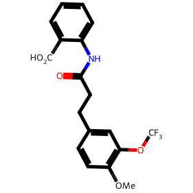 COc1ccc(CCC(=O)Nc2ccccc2C(=O)O)cc1OC(F)(F)F